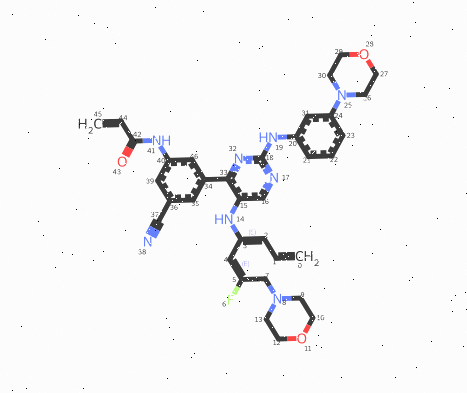 C=C/C=C(\C=C(\F)CN1CCOCC1)Nc1cnc(Nc2cccc(N3CCOCC3)c2)nc1-c1cc(C#N)cc(NC(=O)C=C)c1